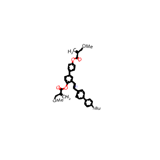 C=C(COC)C(=O)Oc1ccc(-c2ccc(OC(=O)C(=C)COC)c(/C=C/c3ccc(-c4ccc(CCCC)cc4)cc3)c2)cc1